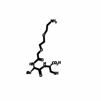 CC[C@H](C)[C@H](NC(=O)COCCOCCN)C(=O)N[C@@H](CS)C(=O)O